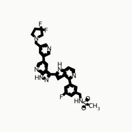 CS(=O)(=O)NCc1cc(F)cc(-c2nccc3[nH]c(-c4n[nH]c5ncc(-c6cncc(CN7CCC(F)(F)C7)c6)cc45)cc23)c1